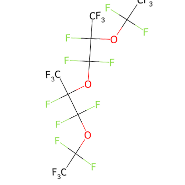 FC(F)(F)C(F)(F)OC(F)(F)C(F)(OC(F)(F)C(F)(OC(F)(F)C(F)(F)F)C(F)(F)F)C(F)(F)F